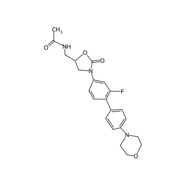 CC(=O)NCC1CN(c2ccc(-c3ccc(N4CCOCC4)cc3)c(F)c2)C(=O)O1